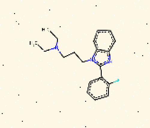 CCN(CC)CCCn1c(-c2ccccc2F)nc2ccccc21